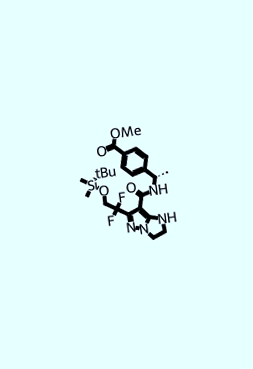 COC(=O)c1ccc([C@H](C)NC(=O)c2c(C(F)(F)CO[Si](C)(C)C(C)(C)C)nn3c2NCC3)cc1